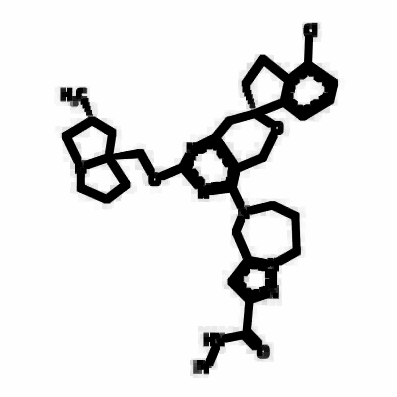 CC(C)NC(=O)c1cc2n(n1)CCCN(c1nc(OC[C@@]34CCCN3C[C@H](C)C4)nc3c1CO[C@@]1(CCc4c(Cl)cccc41)C3)C2